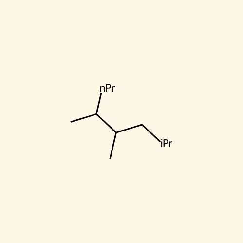 C[CH]CC(C)C(C)CC(C)C